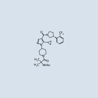 CC(=O)NC(C)(C)C(=O)N1CCC(n2ncc(C(=O)N3CC[C@@H](c4ccccc4C(F)(F)F)C3)c2C2CC2)CC1